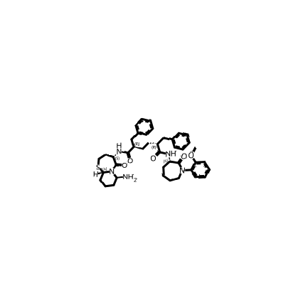 COc1ccccc1N1CCCC[C@H](NC(=O)[C@H](CC[C@H](Cc2ccccc2)C(=O)N[C@H]2CCS[C@H]3CCCC(N)N3C2=O)Cc2ccccc2)C1=O